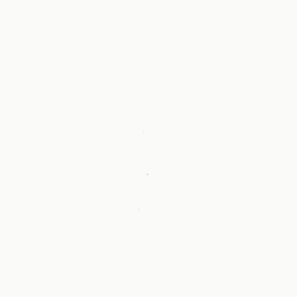 CC(C)=CC=CC(C)=CC(=O)O